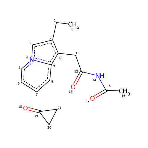 CCc1cn2ccccc2c1CC(=O)NC(C)=O.O=C1CC1